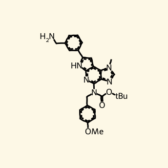 COc1ccc(CN(C(=O)OC(C)(C)C)c2nc3[nH]c(-c4cccc(CN)c4)cc3c3c2ncn3C)cc1